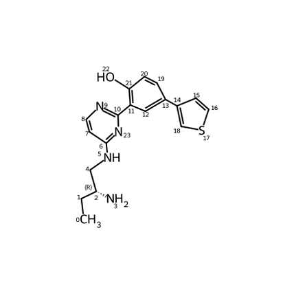 CC[C@@H](N)CNc1ccnc(-c2cc(-c3ccsc3)ccc2O)n1